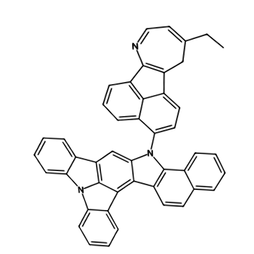 CCC1=CC=NC2=C(C1)c1ccc(-n3c4cc5c6ccccc6n6c7ccccc7c(c4c4ccc7ccccc7c43)c56)c3cccc2c13